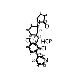 Cl.O=C1CCCN1C1CCCC(Cc2c(Cl)ccc(-c3cccnc3)c2Cl)C1